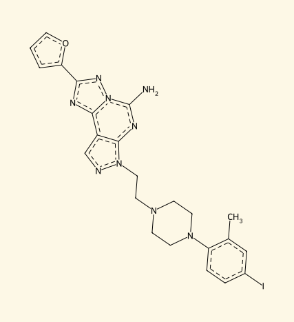 Cc1cc(I)ccc1N1CCN(CCn2ncc3c2nc(N)n2nc(-c4ccco4)nc32)CC1